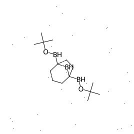 CC(C)(C)OBC12BC(BOC(C)(C)C)(CCC1)CC2